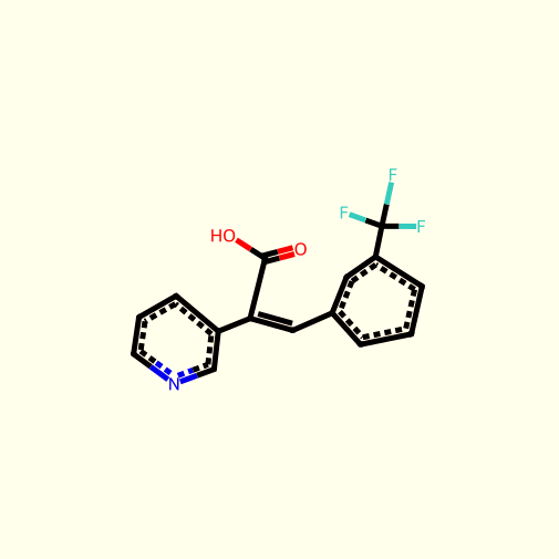 O=C(O)C(=Cc1cccc(C(F)(F)F)c1)c1cccnc1